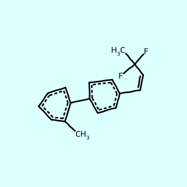 Cc1ccccc1-c1ccc(/C=C\C(C)(F)F)cc1